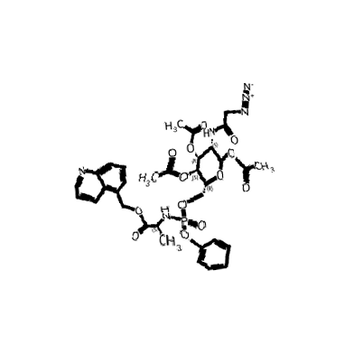 CC(=O)OC1O[C@H](COP(=O)(N[C@@H](C)C(=O)OCc2cccc3ncccc23)Oc2ccccc2)[C@@H](OC(C)=O)[C@H](OC(C)=O)[C@@H]1NC(=O)CN=[N+]=[N-]